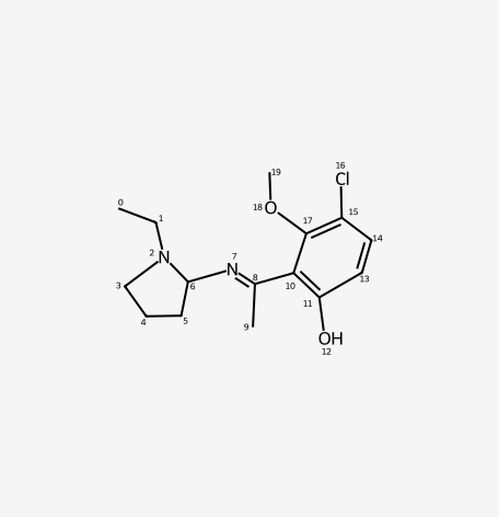 CCN1CCCC1/N=C(\C)c1c(O)ccc(Cl)c1OC